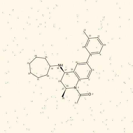 CC(=O)N1c2ccc(-c3cccc(C)c3)cc2[C@H](NC2CCCCCC2)C[C@@H]1C